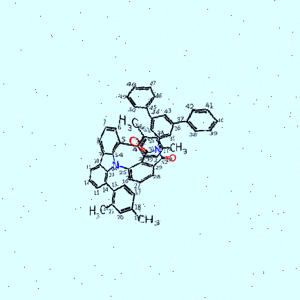 Cc1ccc(-c2cccc3c4cccc(-c5ccc(C)cc5C)c4n(-c4cccc5c4C(=O)N(c4cc(-c6ccccc6)cc(-c6ccccc6)c4)C5=O)c23)c(C)c1